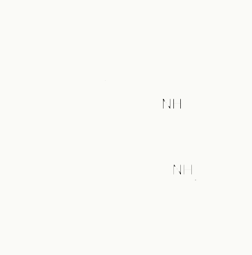 NC1NCC2CCCC1C2